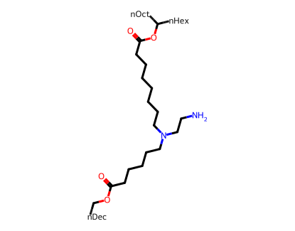 CCCCCCCCCCCOC(=O)CCCCCN(CCN)CCCCCCCC(=O)OC(CCCCCC)CCCCCCCC